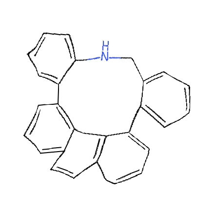 c1ccc2c(c1)CNc1ccccc1-c1cccc3ccc4cccc-2c4c13